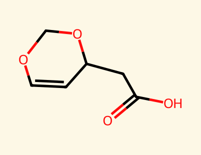 O=C(O)CC1C=COCO1